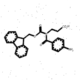 Nc1ccc(C(=O)N(CCC(=O)O)C(=O)OCC2c3ccccc3-c3ccccc32)cc1